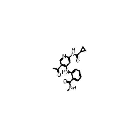 CNC(=O)c1ccccc1Nc1cc(NC(=O)C2CC2)ncc1C(C)=O